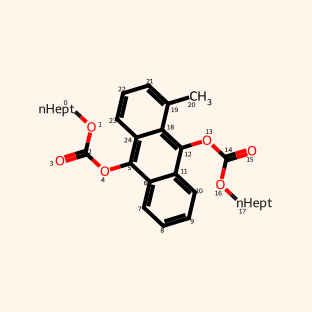 CCCCCCCOC(=O)Oc1c2ccccc2c(OC(=O)OCCCCCCC)c2c(C)cccc12